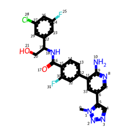 Cn1nncc1-c1cnc(N)c(-c2ccc(C(=O)NC(CO)c3cc(F)cc(Cl)c3)c(F)c2)c1